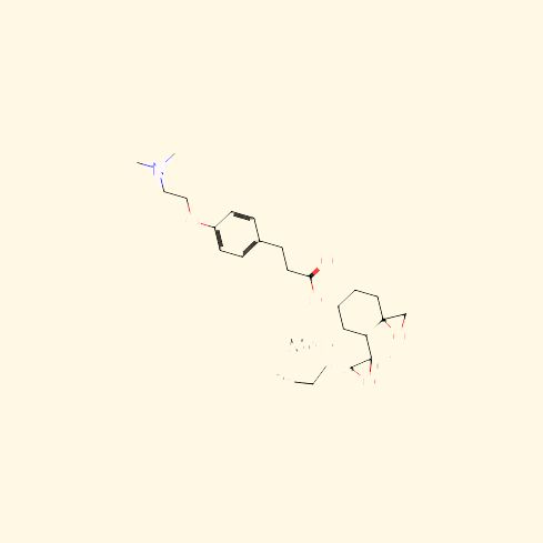 CO[C@@H]1[C@H](OC(=O)CCc2ccc(OCCN(C)C)cc2)CCC2(CO2)[C@H]1[C@@]1(C)O[C@@H]1CCC(C)C